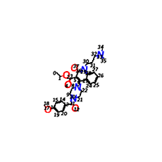 CCOC(=O)c1c(N2CCN(C(=O)c3ccc(OC)cc3)CC2)c2ccccc2n(CCCN(C)C)c1=O